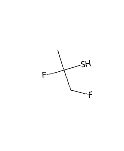 CC(F)(S)CF